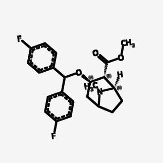 COC(=O)[C@@H]1[C@H]2CCC(C[C@H]1OC(c1ccc(F)cc1)c1ccc(F)cc1)N2C